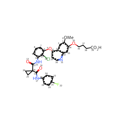 COc1cc2c(Oc3cccc(NC(=O)C4(C(=O)Nc5ccc(F)cc5)CC4)c3Cl)ccnc2cc1OCCCC(=O)O